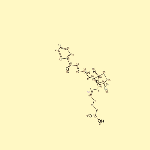 O=C(O)CCC/C=C\C[C@@H]1[C@@H](CNC=CC(=O)c2ccccc2)[C@@H]2CC[C@H]1O2